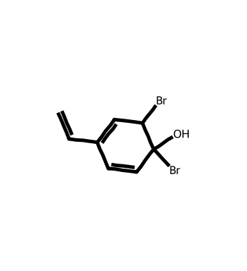 C=CC1=CC(Br)C(O)(Br)C=C1